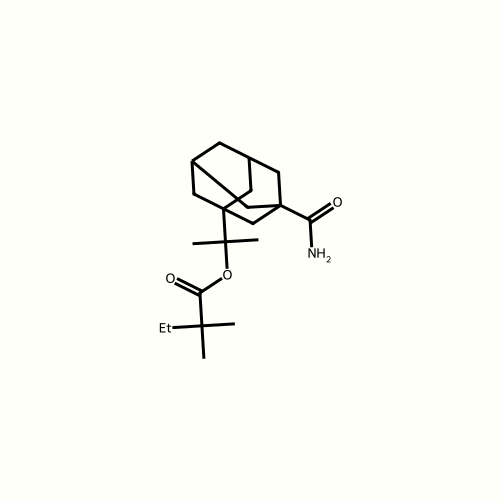 CCC(C)(C)C(=O)OC(C)(C)C12CC3CC(CC(C(N)=O)(C3)C1)C2